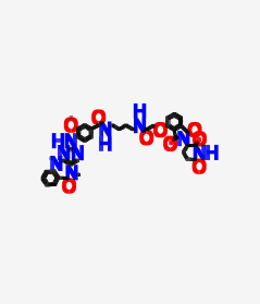 COc1cc(C(=O)NCCCCNC(=O)COc2cccc3c2C(=O)N(C2CCC(=O)NC2=O)C3=O)ccc1Nc1ncc2c(n1)N(C)c1ccccc1C(=O)N2C